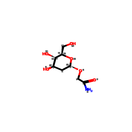 NC(=O)CO[C@@H]1C[C@@H](O)[C@H](O)[C@@H](CO)O1